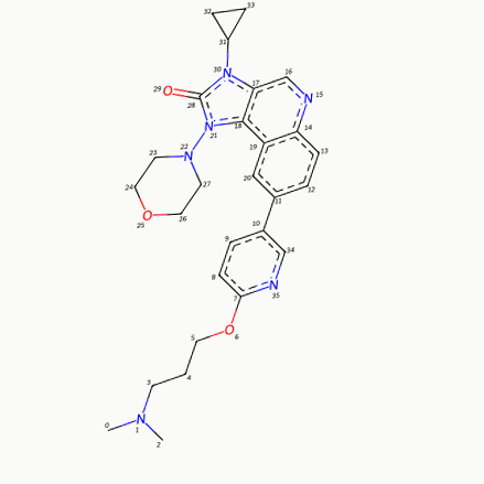 CN(C)CCCOc1ccc(-c2ccc3ncc4c(c3c2)n(N2CCOCC2)c(=O)n4C2CC2)cn1